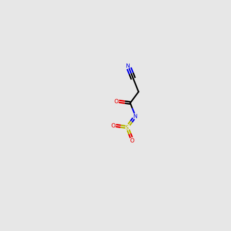 N#CCC(=O)N=S(=O)=O